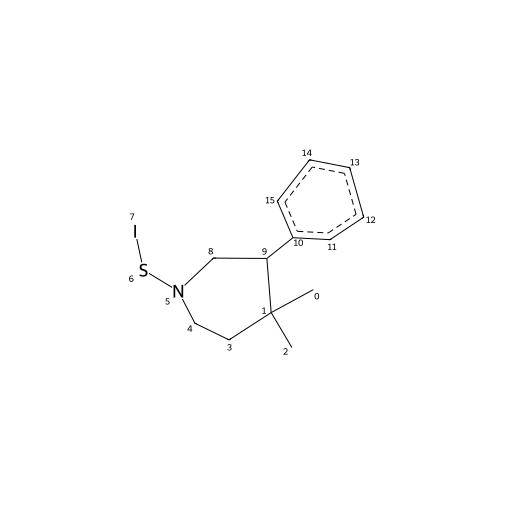 CC1(C)CCN(SI)CC1c1ccccc1